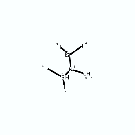 CN([SiH](I)I)[SiH](I)I